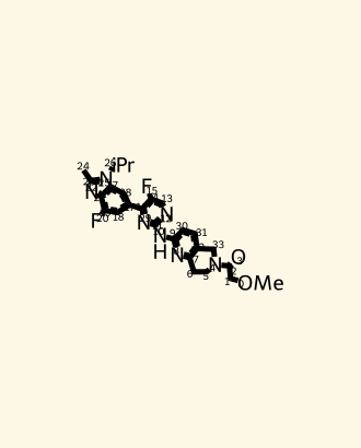 COCC(=O)N1CCc2nc(Nc3ncc(F)c(-c4cc(F)c5nc(C)n(C(C)C)c5c4)n3)ccc2C1